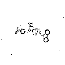 O=C(O)C[C@H](NC(=O)OCC1c2ccccc2-c2ccccc21)C(=O)OCc1ccc([N+](=O)[O-])cc1